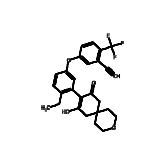 C#Cc1cc(Oc2ccc(CC)c(C3=C(O)CC4(CCOCC4)CC3=O)c2)ccc1C(F)(F)F